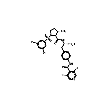 C[C@H]1CCN(S(=O)(=O)c2cc(Cl)cc(Cl)c2)C1C(=O)N[C@@H](Cc1ccc(NC(=O)c2c(Cl)cncc2Cl)cc1)C(=O)O